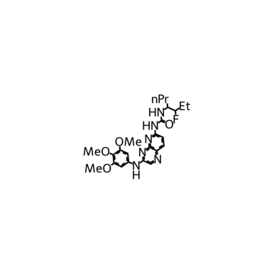 CCCC(NC(=O)Nc1ccc2ncc(Nc3cc(OC)c(OC)c(OC)c3)nc2n1)C(F)CC